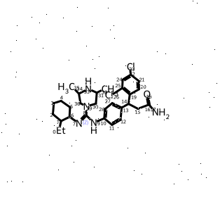 CCC1CCCCC1/N=C(/Nc1ccc(C(CC(N)=O)c2ccc(Cl)cc2Cl)cc1)N1CC(C)NC(C)C1